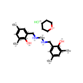 C1CCOCC1.CC(C)(C)c1cc(C[NH][Mn][NH]Cc2cc(C(C)(C)C)cc(C(C)(C)C)c2O)c(O)c(C(C)(C)C)c1.Cl